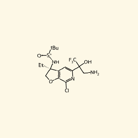 CC[C@@]1(N[S+]([O-])C(C)(C)C)COc2c1cc(C(O)(CN)C(F)(F)F)nc2Cl